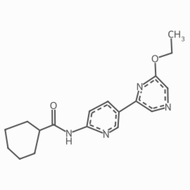 CCOc1cncc(-c2ccc(NC(=O)C3CCCCC3)nc2)n1